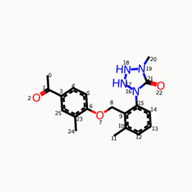 CC(=O)c1ccc(OCc2c(C)cccc2N2NNN(C)C2=O)c(C)c1